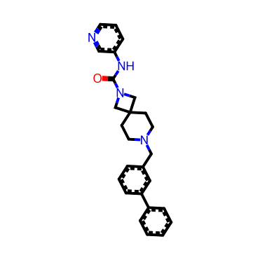 O=C(Nc1cccnc1)N1CC2(CCN(Cc3cccc(-c4ccccc4)c3)CC2)C1